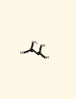 CCCOCCOc1cc(CCCCc2ccc(OCCOCCO)c(OCCOCCO)c2)ccc1OCCOCCO